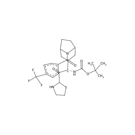 CC(C)(C)OC(=O)N[C@H](C(=O)C1NCCS1)C1CC2CCC(C1)N2C(=O)c1ccc(C(F)(F)F)cc1